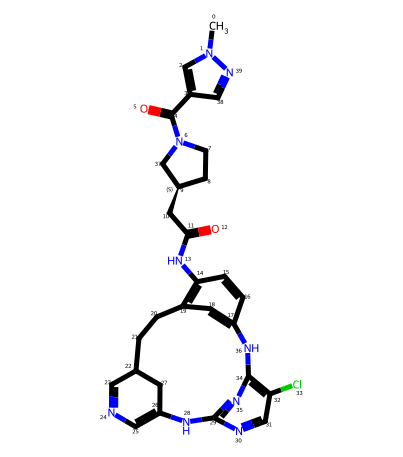 Cn1cc(C(=O)N2CC[C@@H](CC(=O)Nc3ccc4cc3CCC3C=NC=C(C3)Nc3ncc(Cl)c(n3)N4)C2)cn1